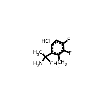 Cc1c(C(C)(C)N)ccc(F)c1F.Cl